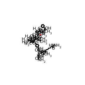 CC[C@@H](C)[C@@H]([C@@H](CC(=O)N1CCC[C@H]1[C@H](OC)[C@@H](C)C(=O)N[C@H](C)[C@@H](O)c1ccccc1)OC)N(C)C(=O)[C@@H](NC(=O)C(C(C)C)N(C)C(=O)OCc1ccc(NC(=O)[C@H](CCCNC(N)=O)NC(=O)C(NC(=O)CCCCCC(=O)NN)C(C)C)cc1)C(C)C